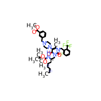 C/C=C\C=C/C[C@H](Cn1c(=O)c(N2CCN(Cc3cccc(C(=O)OC)c3)CC2)c(C)n(Cc2c(F)cccc2C(F)(F)F)c1=O)NC(=O)OC(C)(C)C